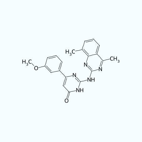 COc1cccc(-c2cc(=O)[nH]c(Nc3nc(C)c4cccc(C)c4n3)n2)c1